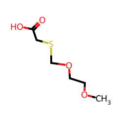 COCCOCSCC(=O)O